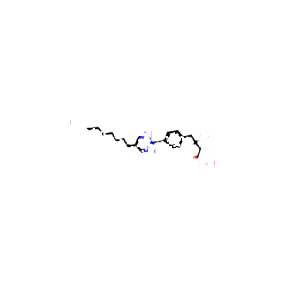 CCCCCCCCc1cnc(-c2ccc(CC(C)(C)[C@H](F)C(=O)O)cc2)nc1